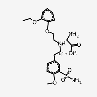 CCOc1ccccc1OCCN[C@H](C)Cc1ccc(OC)c(S(N)(=O)=O)c1.NCC(=O)O